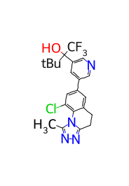 Cc1nnc2n1-c1c(Cl)cc(-c3cncc(C(O)(C(C)(C)C)C(F)(F)F)c3)cc1CC2